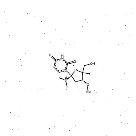 C[SiH](C)[C@]1(n2ccc(=O)[nH]c2=O)C[C@H](OC(C)(C)C)[C@@](C)(CO)O1